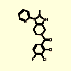 CN1NC2=C(CCN(C(=O)c3ccc(F)c(Cl)c3Cl)C2)N1c1ccccn1